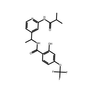 CC(C)C(=O)Nc1cc(C(C)NC(=O)c2ccc(OC(F)(F)F)cc2O)ccn1